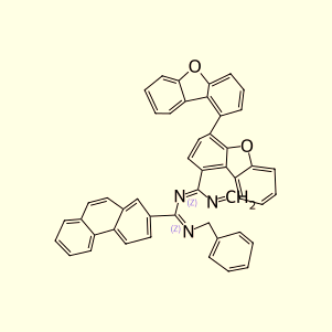 C=N/C(=N\C(=N/Cc1ccccc1)c1ccc2c(ccc3ccccc32)c1)c1ccc(-c2cccc3oc4ccccc4c23)c2oc3ccccc3c12